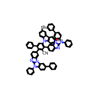 CC(C)(C)c1ccc2c(c1)c1cc(C(C)(C)C)ccc1n2-c1cc(-c2ccccc2)c(-c2ccc3nc4n(-c5ccccc5)c5ccc(-c6ccccc6)cc5n4c3c2)c(C#N)c1-c1ccc2nc3n(-c4ccccc4)c4ccc(-c5ccccc5)cc4n3c2c1